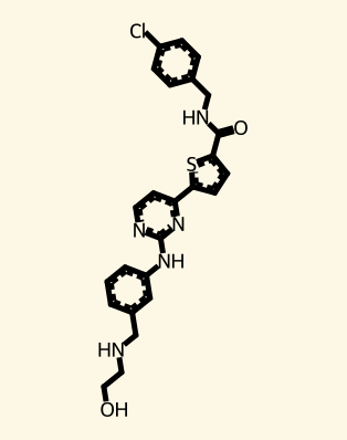 O=C(NCc1ccc(Cl)cc1)c1ccc(-c2ccnc(Nc3cccc(CNCCO)c3)n2)s1